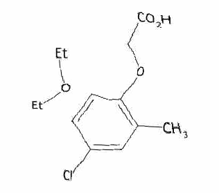 CCOCC.Cc1cc(Cl)ccc1OCC(=O)O